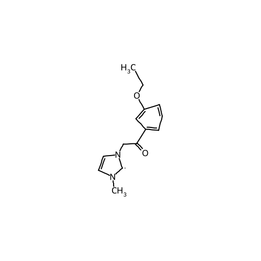 CCOc1cccc(C(=O)CN2[CH]N(C)C=C2)c1